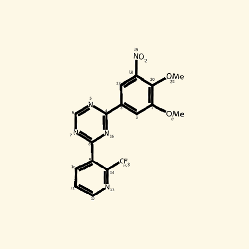 COc1cc(-c2ncnc(-c3cccnc3C(F)(F)F)n2)cc([N+](=O)[O-])c1OC